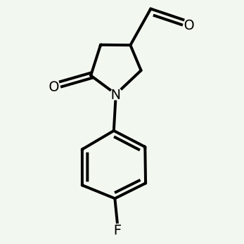 O=CC1CC(=O)N(c2ccc(F)cc2)C1